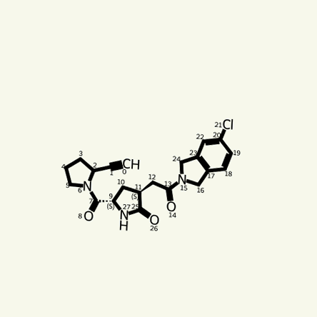 C#CC1CCCN1C(=O)[C@@H]1C[C@@H](CC(=O)N2Cc3ccc(Cl)cc3C2)C(=O)N1